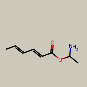 C/C=C/C=C/C(=O)OC(C)N